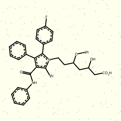 CC(C)OC(CCn1c(-c2ccc(F)cc2)c(-c2ccccc2)c(C(=O)Nc2ccccc2)c1C(C)C)CC(O)CC(=O)O